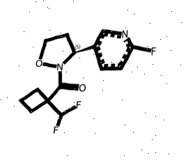 O=C(N1OCC[C@H]1c1ccc(F)nc1)C1(C(F)F)CCC1